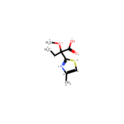 CCC(OC)(C(=O)O)c1nc(C)cs1